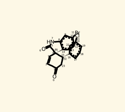 O=C1C=C[C@@]2(C(=O)Nc3cc(Br)ccc32)[C@H](c2cccc(Cl)c2)C1